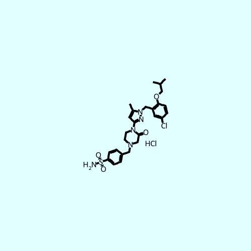 Cc1cc(N2CCN(Cc3ccc(S(N)(=O)=O)cc3)CC2=O)nn1Cc1cc(Cl)ccc1OCC(C)C.Cl